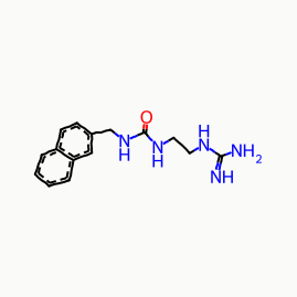 N=C(N)NCCNC(=O)NCc1ccc2ccccc2c1